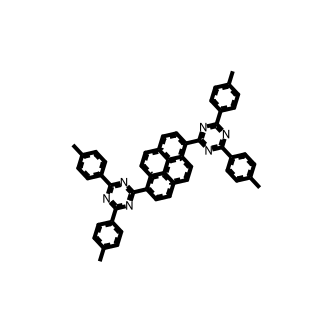 Cc1ccc(-c2nc(-c3ccc(C)cc3)nc(-c3ccc4ccc5c(-c6nc(-c7ccc(C)cc7)nc(-c7ccc(C)cc7)n6)ccc6ccc3c4c65)n2)cc1